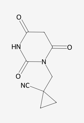 N#CC1(CN2C(=O)CC(=O)NC2=O)CC1